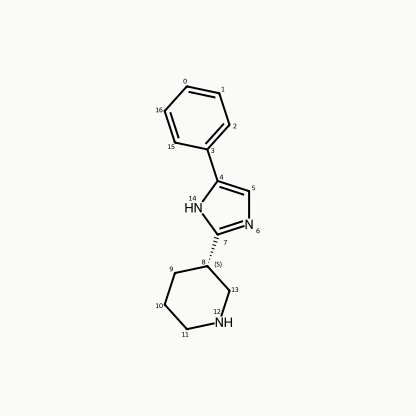 c1ccc(-c2cnc([C@H]3CCCNC3)[nH]2)cc1